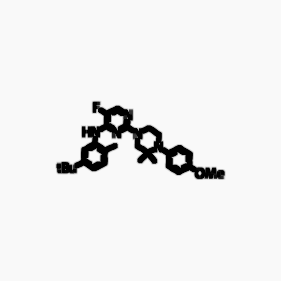 COc1ccc(N2CCN(c3ncc(F)c(Nc4cc(C(C)(C)C)ccc4C)n3)CC2(C)C)cc1